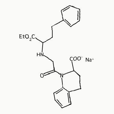 CCOC(=O)C(CCc1ccccc1)NCC(=O)N1c2ccccc2CCC1C(=O)[O-].[Na+]